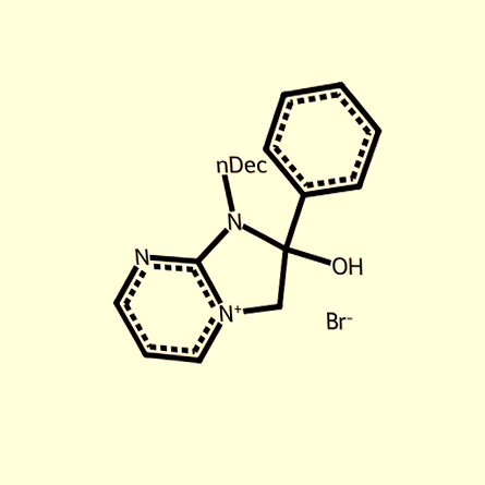 CCCCCCCCCCN1c2nccc[n+]2CC1(O)c1ccccc1.[Br-]